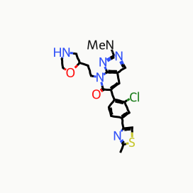 CNc1ncc2cc(-c3ccc(-c4csc(C)n4)cc3Cl)c(=O)n(CCC3CNCCO3)c2n1